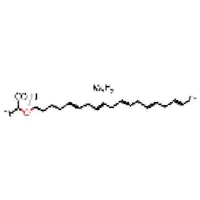 CCC=CCC=CCC=CCC=CCC=CCCCCOC(CC)C(=O)O.[MgH2]